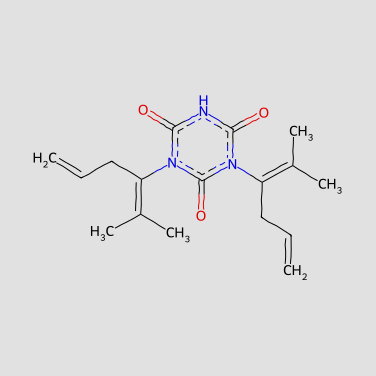 C=CCC(=C(C)C)n1c(=O)[nH]c(=O)n(C(CC=C)=C(C)C)c1=O